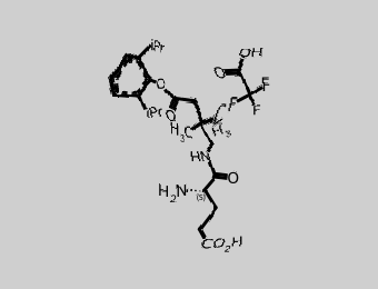 CC(C)c1cccc(C(C)C)c1OC(=O)CC(C)(C)CNC(=O)[C@@H](N)CCC(=O)O.O=C(O)C(F)(F)F